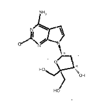 Nc1nc(Cl)nc2c1ccn2[C@H]1C[C@H](O)C(CO)(CO)O1